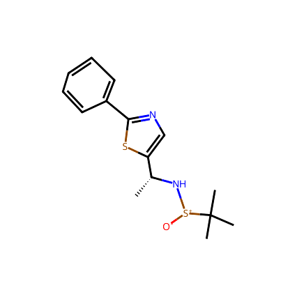 C[C@@H](N[S+]([O-])C(C)(C)C)c1cnc(-c2ccccc2)s1